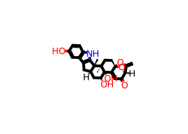 C=C1O[C@@]23CC[C@]4(C)[C@@]5(C)c6[nH]c7ccc(O)cc7c6C[C@@H]5C[C@H](O)[C@@]4(O)C2=CC(=O)[C@@H]1O3